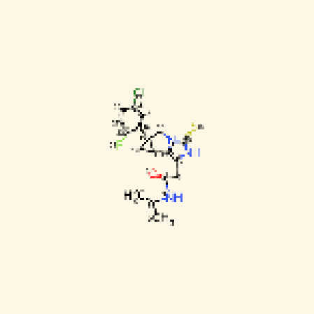 CC(C)NC(=O)Cc1[nH]c(=S)n2c1C1C[C@]1(c1cc(Cl)ccc1F)C2